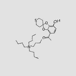 CC(=O)c1ccc(O)c2c1OC1(CCSCC1)O2.CCCC[N+](CCCC)(CCCC)CCCC